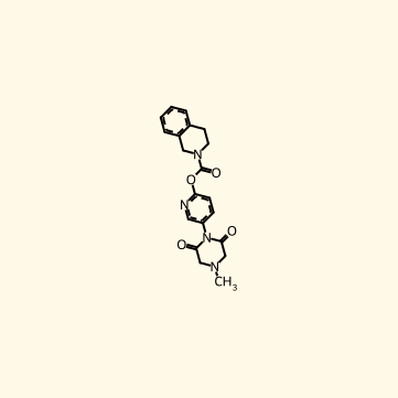 CN1CC(=O)N(c2ccc(OC(=O)N3CCc4ccccc4C3)nc2)C(=O)C1